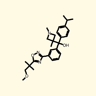 COCC(C)(C)c1nc(-c2cccc(C(O)(c3ccc(C(C)C)cc3)C3(C)CN(C)C3)c2)no1